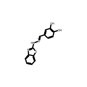 Oc1ccc(/C=N/Nc2nc3ccccc3s2)cc1O